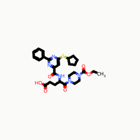 CCOC(=O)N1CCN(C(=O)C(CCC(=O)O)NC(=O)c2cc(SC3CCCC3)nc(-c3ccccc3)n2)CC1